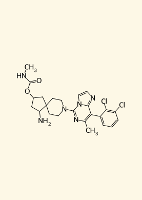 CNC(=O)OC1CC(N)C2(CCN(c3nc(C)c(-c4cccc(Cl)c4Cl)c4nccn34)CC2)C1